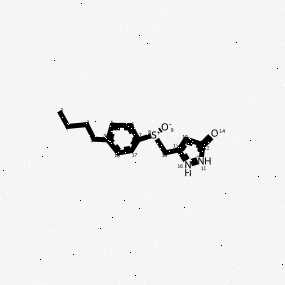 CCCCc1ccc([S+]([O-])Cc2cc(=O)[nH][nH]2)cc1